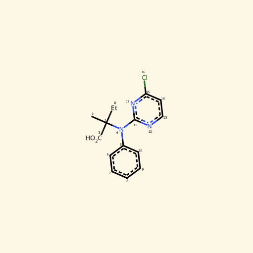 CCC(C)(C(=O)O)N(c1ccccc1)c1nccc(Cl)n1